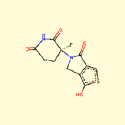 O=C1CC[C@](F)(N2Cc3c(csc3O)C2=O)C(=O)N1